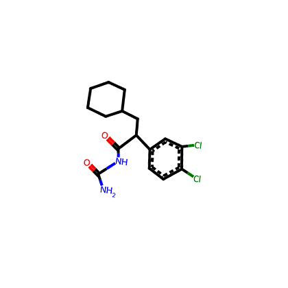 NC(=O)NC(=O)C(CC1CCCCC1)c1ccc(Cl)c(Cl)c1